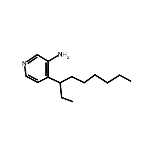 CCCCCCC(CC)c1ccncc1N